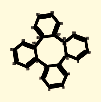 C1=CB2c3ccccc3-c3ccccc3-c3ccccc3N2C=C1